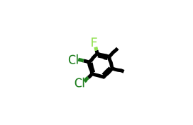 Cc1cc(Cl)c(Cl)c(F)c1C